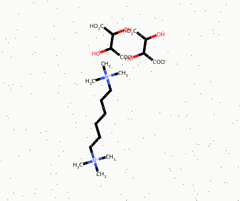 C[N+](C)(C)CCCCCC[N+](C)(C)C.O=C([O-])C(O)C(O)C(=O)O.O=C([O-])C(O)C(O)C(=O)O